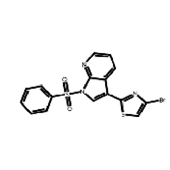 O=S(=O)(c1ccccc1)n1cc(-c2nc(Br)cs2)c2cccnc21